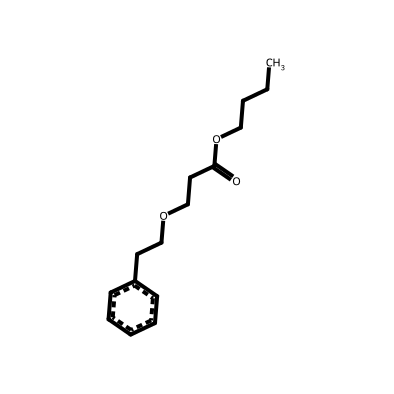 CCCCOC(=O)CCOCCc1ccccc1